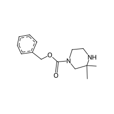 CC1(C)CN(C(=O)OCc2ccccc2)CCN1